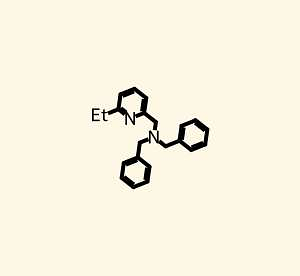 CCc1cccc(CN(Cc2ccccc2)Cc2ccccc2)n1